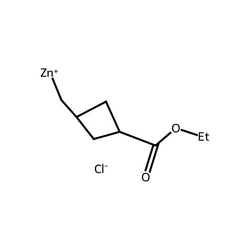 CCOC(=O)C1CC([CH2][Zn+])C1.[Cl-]